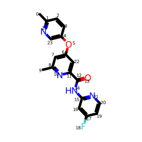 Cc1ccc(Oc2cc(C)nc(C(=O)Nc3cc(F)ccn3)c2)cn1